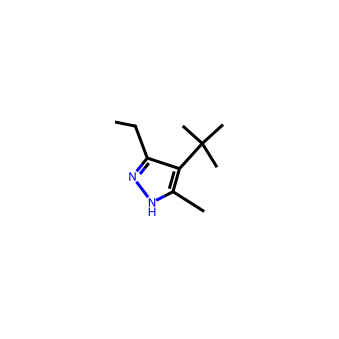 CCc1n[nH]c(C)c1C(C)(C)C